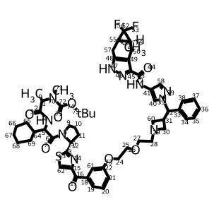 CC(C(=O)NC(C(=O)N1CCC[C@H]1c1nc(C(=O)c2cccc(OCCOCCN3CC(C(c4ccccc4)n4cc(NC(=O)c5n[nH]c6c5C[C@@H]5C(F)(F)[C@]5(C)C6)cn4)C3)c2)cs1)C1CCCCC1)N(C)C(=O)OC(C)(C)C